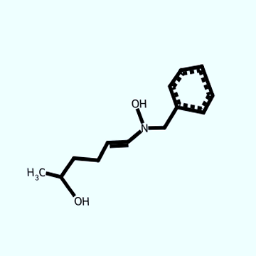 CC(O)CCC=CN(O)Cc1ccccc1